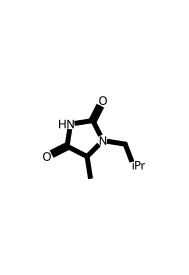 CC(C)CN1C(=O)NC(=O)C1C